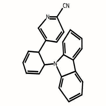 N#Cc1ccc(C2C=CC=CC2n2c3ccccc3c3ccccc32)cn1